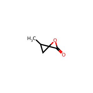 CC1CC12OC2=O